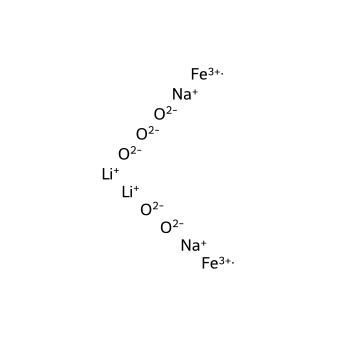 [Fe+3].[Fe+3].[Li+].[Li+].[Na+].[Na+].[O-2].[O-2].[O-2].[O-2].[O-2]